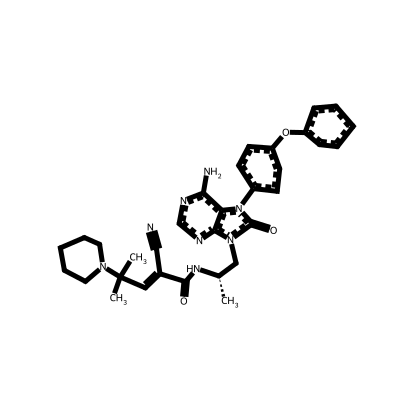 C[C@@H](Cn1c(=O)n(-c2ccc(Oc3ccccc3)cc2)c2c(N)ncnc21)NC(=O)/C(C#N)=C/C(C)(C)N1CCCCC1